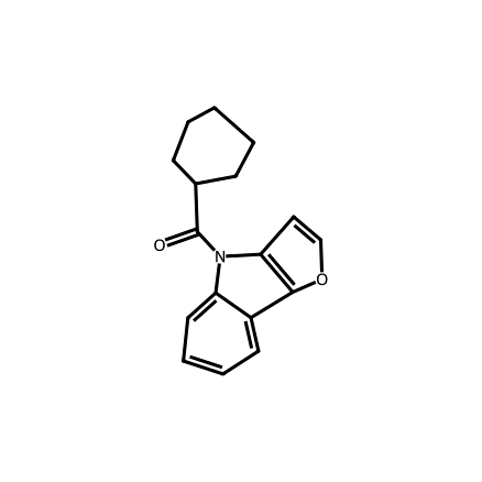 O=C(C1CCCCC1)n1c2ccccc2c2occc21